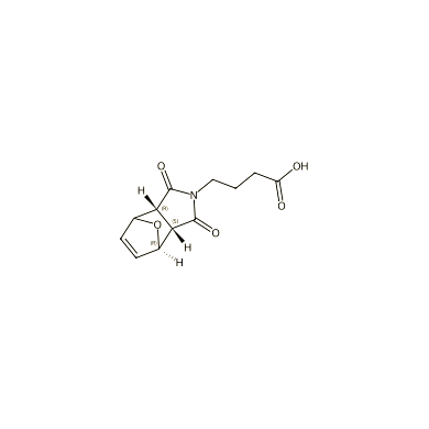 O=C(O)CCCN1C(=O)[C@@H]2[C@H]3C=CC(O3)[C@@H]2C1=O